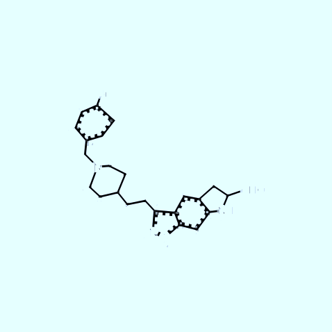 O=CC1Cc2cc3c(CCC4CCN(Cc5ccc(Br)cc5)CC4)noc3cc2N1